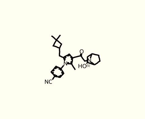 Cc1c(C(=O)CN2C3CCC2[C@@H](O)C3)cc(CC2CC(C)(C)C2)n1-c1ccc(C#N)cc1